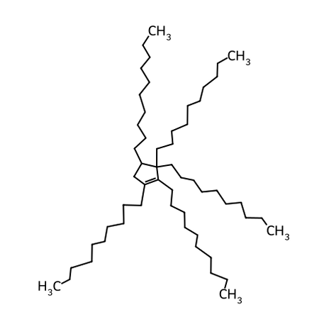 CCCCCCCCCCC1=C(CCCCCCCCCC)C(CCCCCCCCCC)(CCCCCCCCCC)C(CCCCCCCCCC)C1